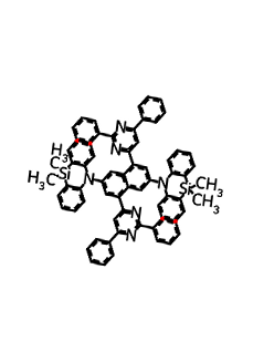 C[Si]1(C)c2ccccc2N(c2cc(-c3cc(-c4ccccc4)nc(-c4ccccc4)n3)c3cc(N4c5ccccc5[Si](C)(C)c5ccccc54)cc(-c4cc(-c5ccccc5)nc(-c5ccccc5)n4)c3c2)c2ccccc21